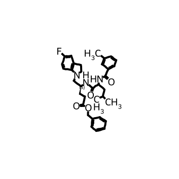 Cc1cccc(C(=O)NC(CC(C)C)C(=O)N[C@@H](CCC(=O)OCc2ccccc2)CN2CCc3cc(F)ccc32)c1